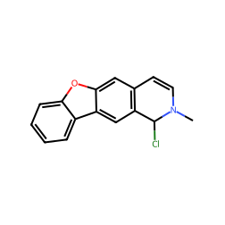 CN1C=Cc2cc3oc4ccccc4c3cc2C1Cl